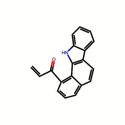 C=CC(=O)c1cccc2ccc3c4ccccc4[nH]c3c12